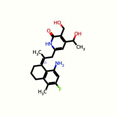 C/C(Cc1cc(C(C)O)c(CO)c(=O)[nH]1)=C1\CCCc2c(C)c(F)cc(N)c21